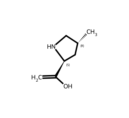 C=C(O)[C@@H]1C[C@@H](C)CN1